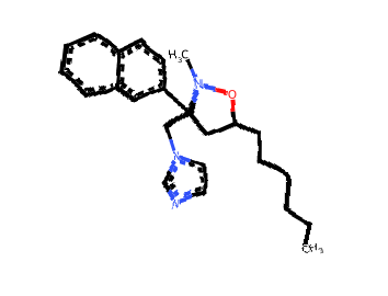 CCCCCCC1CC(Cn2ccnc2)(c2ccc3ccccc3c2)N(C)O1